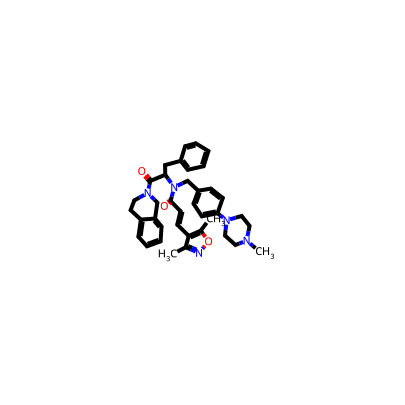 Cc1noc(C)c1C=CC(=O)N(Cc1ccc(N2CCN(C)CC2)cc1)C(Cc1ccccc1)C(=O)N1CCc2ccccc2C1